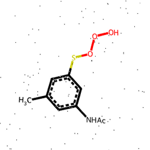 CC(=O)Nc1cc(C)cc(SOOO)c1